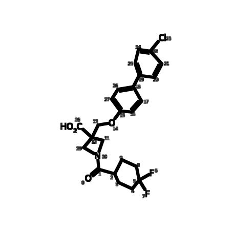 O=C(C1CCC(F)(F)CC1)N1CC(COc2ccc(-c3ccc(Cl)cc3)cc2)(C(=O)O)C1